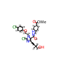 COC(=O)C1CCC(CNC(=O)c2c(C#CC(C)(C)CO)nc(Cl)n2CCOc2ccc(Cl)cc2)CC1